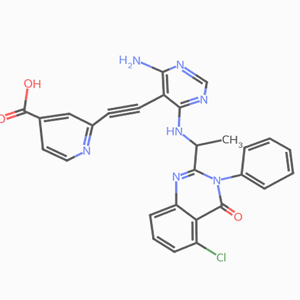 CC(Nc1ncnc(N)c1C#Cc1cc(C(=O)O)ccn1)c1nc2cccc(Cl)c2c(=O)n1-c1ccccc1